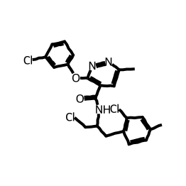 Cc1ccc(CC(CCl)NC(=O)c2cc(C)nnc2Oc2cccc(Cl)c2)c(Cl)c1